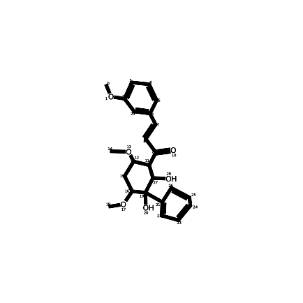 COc1cccc(C=CC(=O)C2C(OC)CC(OC)C(O)(c3ccccc3)C2O)c1